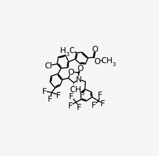 COC(=O)c1ccc(-c2ccc(Cl)c(-c3ccc(C(F)(F)F)cc3C3OC(=O)N(Cc4cc(C(F)(F)F)cc(C(F)(F)F)c4)[C@@H]3C)c2)c(C)c1